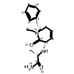 C[C@H](N[C@H]1C=CC[C@@H](c2ccccc2)N(C)C1=O)C(N)=O